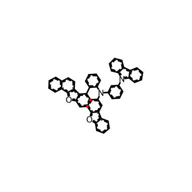 c1cc(N(c2ccc3oc4ccccc4c3c2)c2ccccc2-c2cccc3oc4c5ccccc5ccc4c23)cc(-n2c3ccccc3c3ccccc32)c1